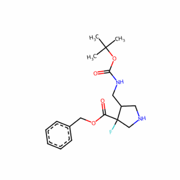 CC(C)(C)OC(=O)NCC1CNCC1(F)C(=O)OCc1ccccc1